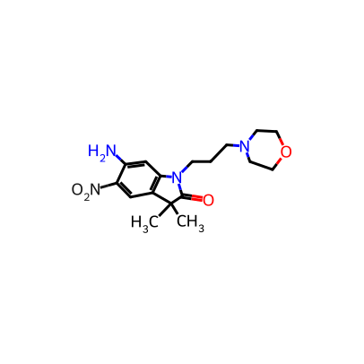 CC1(C)C(=O)N(CCCN2CCOCC2)c2cc(N)c([N+](=O)[O-])cc21